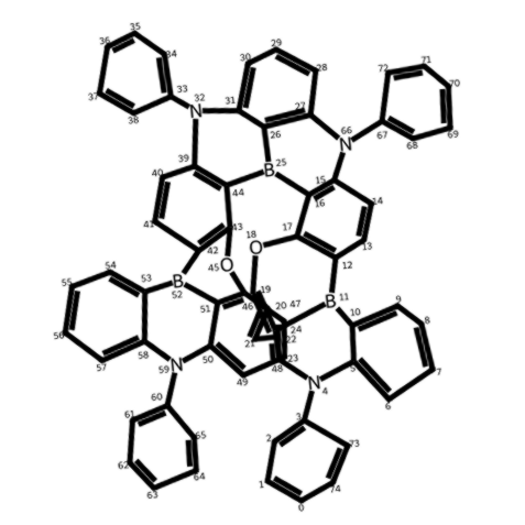 c1ccc(N2c3ccccc3B3c4ccc5c(c4Oc4cccc2c43)B2c3c(cccc3N(c3ccccc3)c3ccc4c(c32)Oc2cccc3c2B4c2ccccc2N3c2ccccc2)N5c2ccccc2)cc1